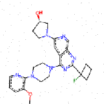 COc1cccnc1N1CCN(c2nc(C3(F)CCC3)nc3cnc(N4CC[C@@H](O)C4)cc23)CC1